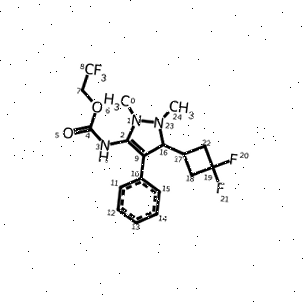 CN1C(NC(=O)OCC(F)(F)F)=C(c2ccccc2)C(C2CC(F)(F)C2)N1C